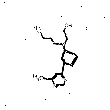 Cc1cc(-c2cccc(N(CCO)CCCN)c2)ncn1